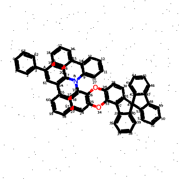 c1ccc(-c2ccc(N(c3ccccc3-c3ccccc3)c3cccc4c3Oc3ccc5c(c3O4)-c3ccccc3C53c4ccccc4-c4ccccc43)c(-c3ccccc3)c2)cc1